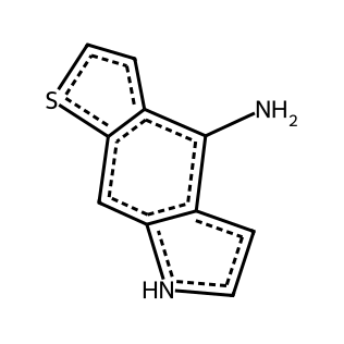 Nc1c2cc[nH]c2cc2sccc12